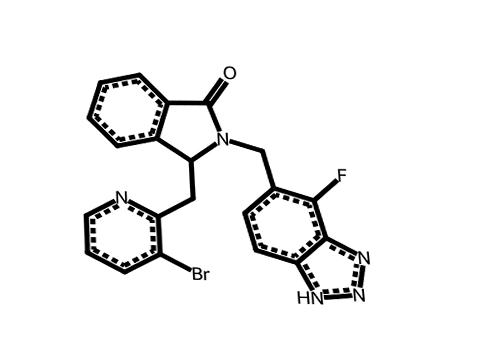 O=C1c2ccccc2C(Cc2ncccc2Br)N1Cc1ccc2[nH]nnc2c1F